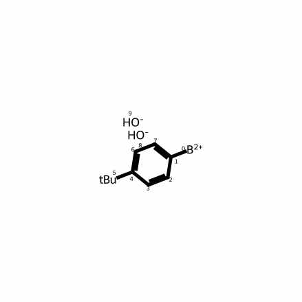 [B+2]c1ccc(C(C)(C)C)cc1.[OH-].[OH-]